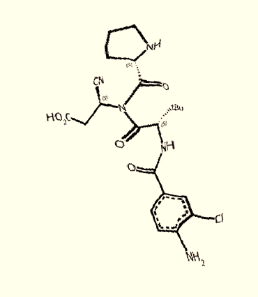 CC(C)(C)[C@H](NC(=O)c1ccc(N)c(Cl)c1)C(=O)N(C(=O)[C@@H]1CCCN1)[C@H](C#N)CC(=O)O